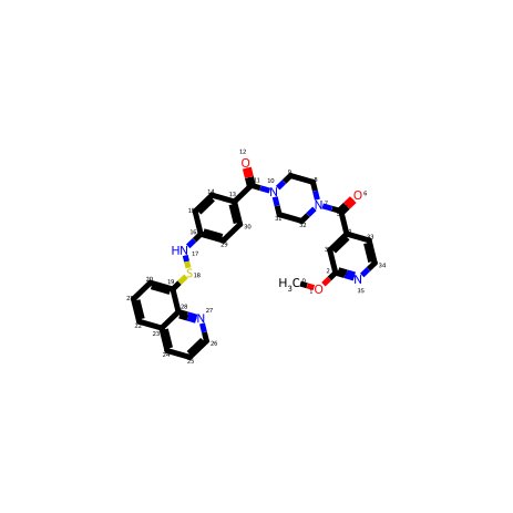 COc1cc(C(=O)N2CCN(C(=O)c3ccc(NSc4cccc5cccnc45)cc3)CC2)ccn1